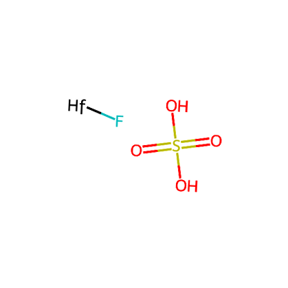 O=S(=O)(O)O.[F][Hf]